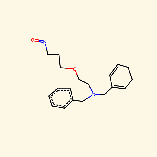 O=NCCCOCCN(CC1=CCCC=C1)Cc1ccccc1